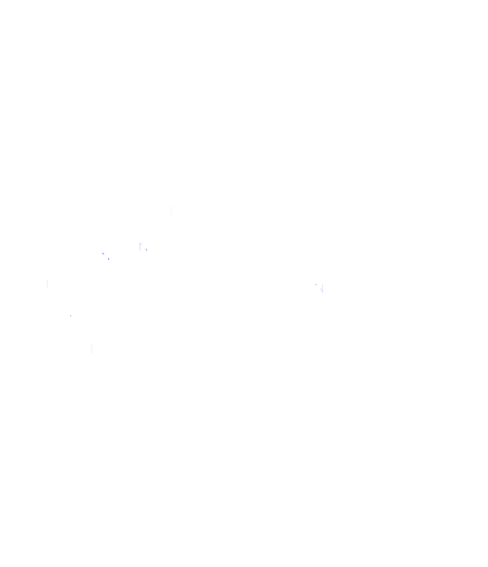 Cn1nc(C(F)(F)I)cc1-c1ccc(NCc2ccccc2F)cc1